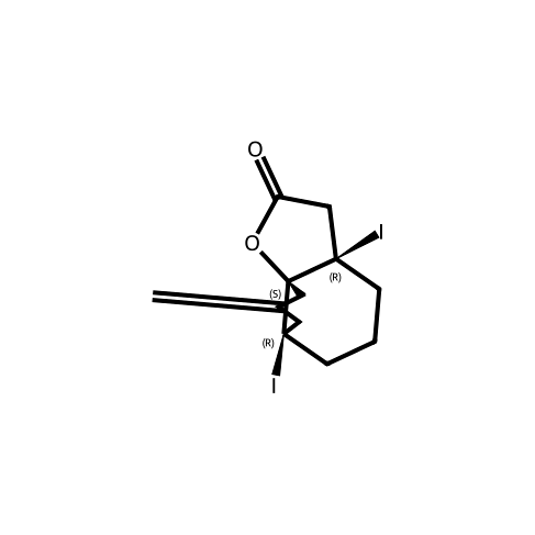 C=C1C[C@]2(I)CCC[C@@]3(I)CC(=O)O[C@@]23C1